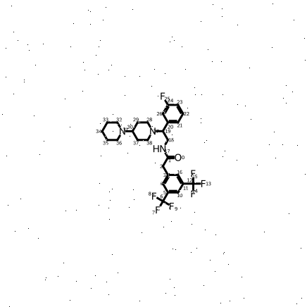 O=C(Cc1cc(C(F)(F)F)cc(C(F)(F)F)c1)NCC(c1cccc(F)c1)N1CCC(N2CCCCC2)CC1